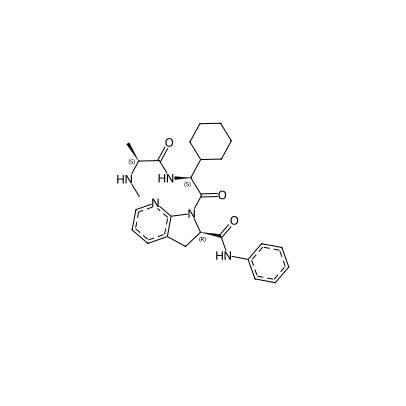 CN[C@@H](C)C(=O)N[C@H](C(=O)N1c2ncccc2C[C@@H]1C(=O)Nc1ccccc1)C1CCCCC1